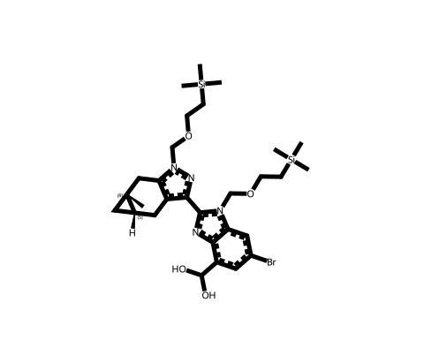 C[C@@]12Cc3c(c(-c4nc5c(C(O)O)cc(Br)cc5n4COCC[Si](C)(C)C)nn3COCC[Si](C)(C)C)C[C@@H]1C2